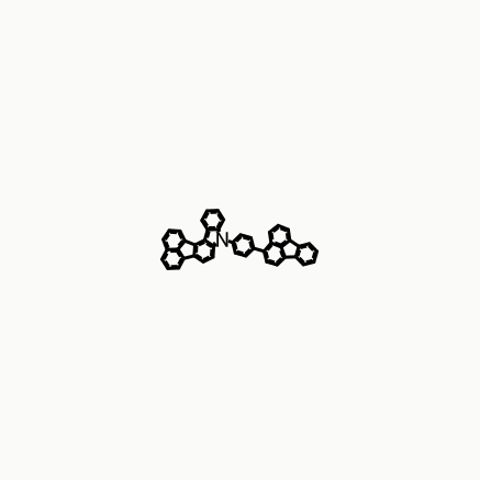 c1ccc2c(c1)-c1cccc3c(-c4ccc(-n5c6ccccc6c6c7c(ccc65)-c5cccc6cccc-7c56)cc4)ccc-2c13